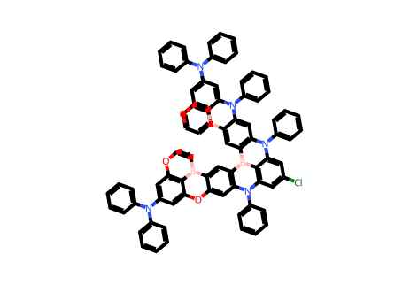 Clc1cc2c3c(c1)N(c1ccccc1)c1cc4c(cc1B3c1cc3c(cc1N2c1ccccc1)Oc1cc(N(c2ccccc2)c2ccccc2)cc2c1B3c1ccccc1O2)B1c2ccccc2Oc2cc(N(c3ccccc3)c3ccccc3)cc(c21)N4c1ccccc1